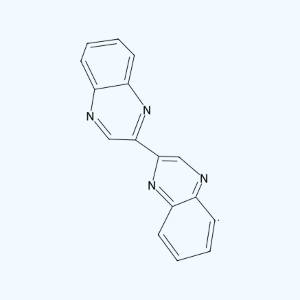 [c]1cccc2nc(-c3cnc4ccccc4n3)cnc12